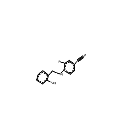 N#Cc1ccc(NCc2ccccc2O)c(F)c1